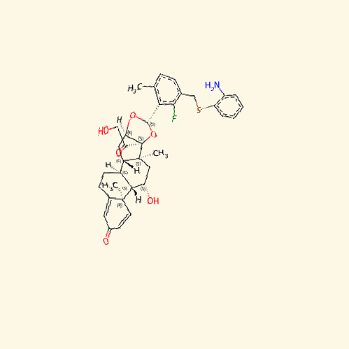 Cc1ccc(CSc2ccccc2N)c(F)c1[C@H]1O[C@@H]2C[C@H]3[C@@H]4CCC5=CC(=O)C=C[C@]5(C)[C@H]4[C@@H](O)C[C@]3(C)[C@]2(C(=O)CO)O1